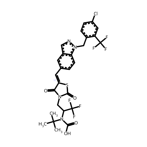 CC(C)(C)N(C(=O)O)C(CN1C(=O)S/C(=C\c2ccc3c(cnn3Cc3ccc(Cl)cc3C(F)(F)F)c2)C1=O)C(F)(F)F